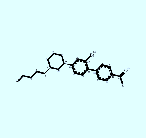 CCCCC[C@@H]1CCC[C@@H](c2ccc(-c3ccc(C(C)=O)cc3)c(Br)c2)C1